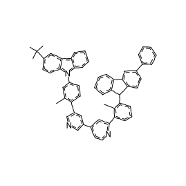 Cc1cc(-n2c3ccccc3c3cc(C(C)(C)C)ccc32)ccc1-c1cncc(-c2ccnc(-c3cccc(C4c5ccccc5-c5cc(-c6ccccc6)ccc54)c3C)c2)c1